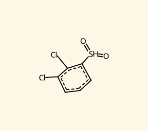 O=[SH](=O)c1cccc(Cl)c1Cl